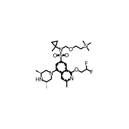 Cc1cc2c(N3C[C@H](C)N[C@@H](C)C3)cc(S(=O)(=O)N(COCC[Si](C)(C)C)C3(C)CC3)cc2c(OCC(F)F)n1